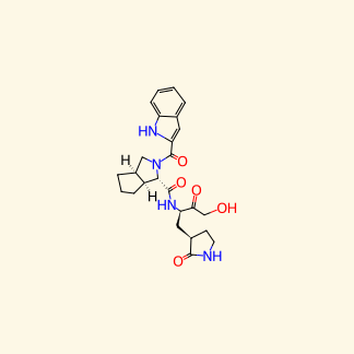 O=C1NCC[C@@H]1C[C@@H](NC(=O)[C@@H]1[C@H]2CCC[C@H]2CN1C(=O)c1cc2ccccc2[nH]1)C(=O)CO